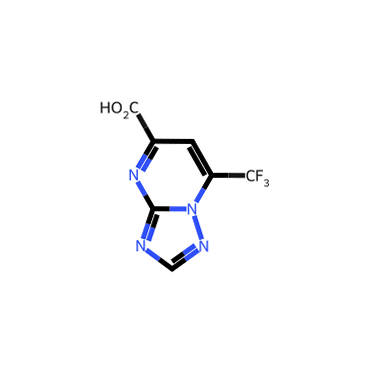 O=C(O)c1cc(C(F)(F)F)n2ncnc2n1